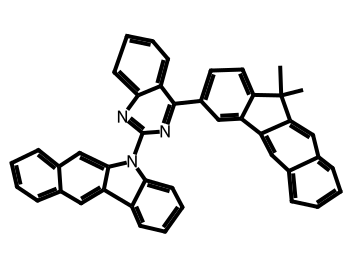 CC1(C)c2ccc(-c3nc(-n4c5ccccc5c5cc6ccccc6cc54)nc4ccccc34)cc2-c2cc3ccccc3cc21